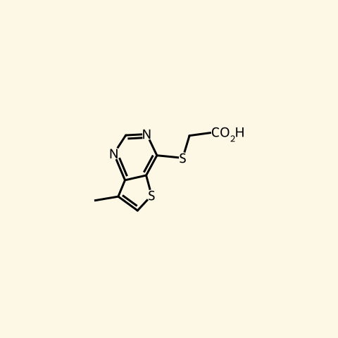 Cc1csc2c(SCC(=O)O)ncnc12